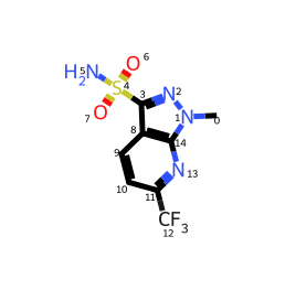 Cn1nc(S(N)(=O)=O)c2ccc(C(F)(F)F)nc21